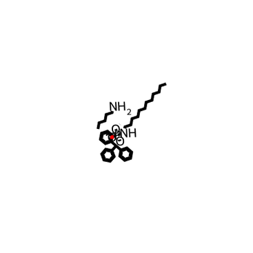 CCCCCCCCCCCCN[P](OC)(OC)OC(c1ccccc1)(c1ccccc1)c1ccccc1.CCCCCN